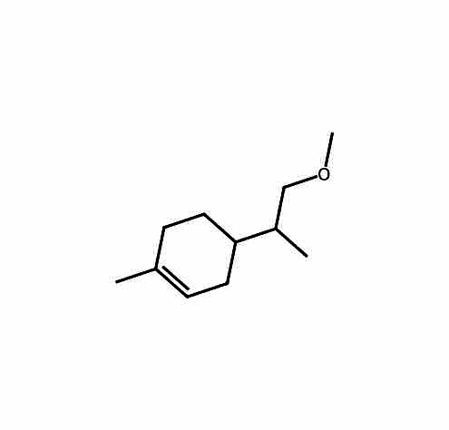 COCC(C)C1CC=C(C)CC1